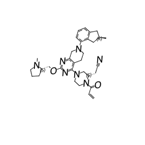 C=CC(=O)N1CCN(c2nc(OC[C@@H]3CCCN3C)nc3c2CCN(c2cccc4c2C[C@H](C)C4)C3)C[C@@H]1CC#N